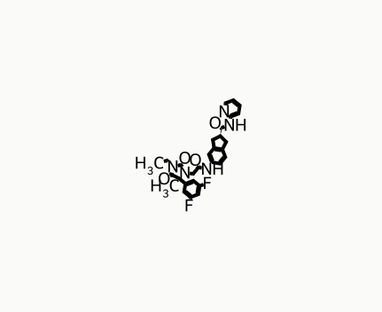 CCN1C(=O)N(CC(=O)Nc2ccc3c(c2)C[C@H](C(=O)Nc2ccccn2)C3)C(C)(c2cc(F)cc(F)c2)C1=O